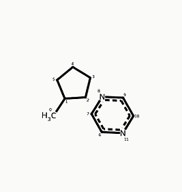 CC1CCCC1.c1cnccn1